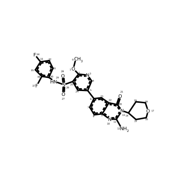 COc1ncc(-c2ccc3nc(N)n(C4CCOCC4)c(=O)c3c2)cc1S(=O)(=O)Nc1ccc(F)cc1F